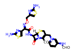 Nc1nc(CO/N=C(\C(=O)NC2C(=O)N3C(C(=O)[O-])=C(C[n+]4cccc(NC=O)c4)CS[C@@H]23)c2csc(N)n2)cs1